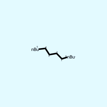 [CH2]CC[CH]CCCCCCCC